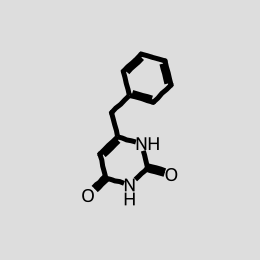 O=c1cc(Cc2ccccc2)[nH]c(=O)[nH]1